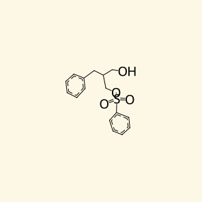 O=S(=O)(OCC(CO)Cc1ccccc1)c1ccccc1